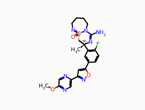 COc1cnc(-c2cc(-c3ccc(F)c([C@]4(C)C[S@]5(=O)=NCCCCN5C(N)=N4)c3)on2)cn1